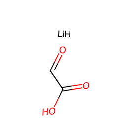 O=CC(=O)O.[LiH]